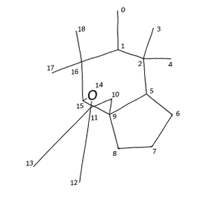 CC1C(C)(C)C2CCCC23CC(C)(C)OC3C1(C)C